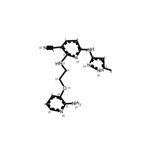 Cc1cc(Nc2ccc(C#N)c(NCCOc3cccnc3N)n2)n[nH]1